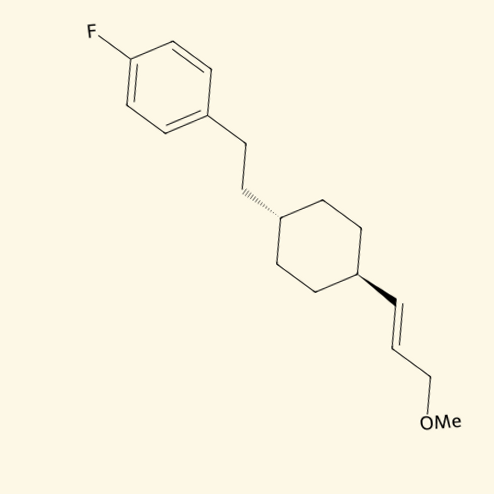 COCC=C[C@H]1CC[C@H](CCc2ccc(F)cc2)CC1